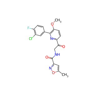 COc1ccc(C(=O)CNC(=O)c2cc(C)on2)nc1-c1ccc(F)c(Cl)c1